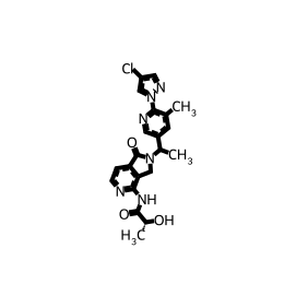 Cc1cc(C(C)N2Cc3c(ccnc3NC(=O)[C@@H](C)O)C2=O)cnc1-n1cc(Cl)cn1